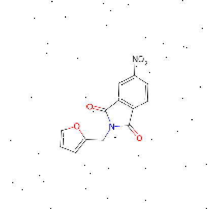 O=C1c2ccc([N+](=O)[O-])cc2C(=O)N1Cc1ccco1